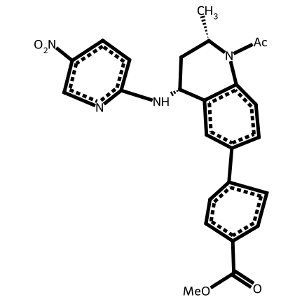 COC(=O)c1ccc(-c2ccc3c(c2)[C@H](Nc2ccc([N+](=O)[O-])cn2)C[C@H](C)N3C(C)=O)cc1